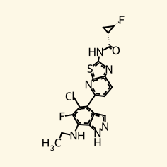 CCNc1c(F)c(Cl)c(-c2ccc3nc(NC(=O)[C@@H]4C[C@@H]4F)sc3n2)c2cn[nH]c12